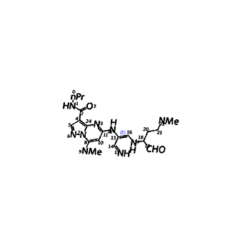 CCCNC(=O)c1cnn2c(NC)cc(N/C(C=N)=C/NC(C=O)CCNC)nc12